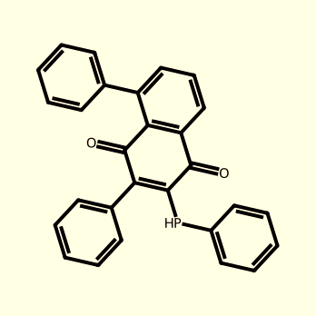 O=C1C(Pc2ccccc2)=C(c2ccccc2)C(=O)c2c1cccc2-c1ccccc1